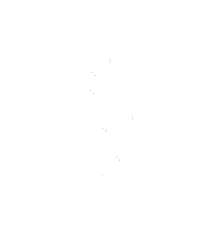 COC(=O)c1ccc(-c2cc(Cl)c3ccc(C(=O)N4CCN(C(=O)O)C(C)C4)cc3n2)cn1